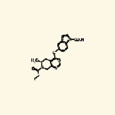 CC1Cc2c(ncnc2Oc2ccc3c(ccn3C(=O)O)c2)CN1C(=O)CI